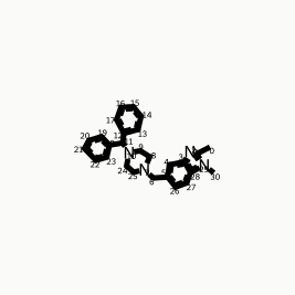 Cc1nc2cc(CN3CCN(C(c4ccccc4)c4ccccc4)CC3)ccc2n1C